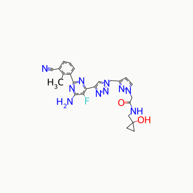 Cc1c(C#N)cccc1-c1nc(N)c(F)c(-c2cn(Cc3ccn(CC(=O)NCC4(O)CC4)n3)nn2)n1